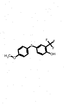 COc1ccc(Sc2ccc(O)c(C(F)(F)F)c2)cc1